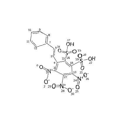 O=[N+]([O-])c1c(C=Cc2ccccc2)c(S(=O)(=O)O)c(S(=O)(=O)O)c([N+](=O)[O-])c1[N+](=O)[O-]